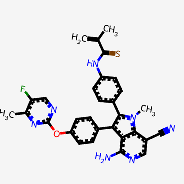 C=C(C)C(=S)Nc1ccc(-c2c(-c3ccc(Oc4ncc(F)c(C)n4)cc3)c3c(N)ncc(C#N)c3n2C)cc1